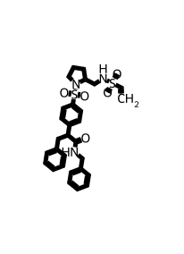 C=CS(=O)(=O)NCC1CCCN1S(=O)(=O)c1ccc(C(Cc2ccccc2)C(=O)NCc2ccccc2)cc1